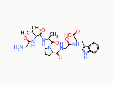 CC(C)[C@H](NC(=O)CN)C(=O)N[C@@H](C)C(=O)N1CCC[C@H]1C(=O)NCC(=O)N[C@@H](Cc1c[nH]c2ccccc12)C(=O)O